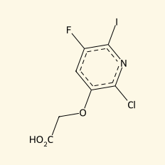 O=C(O)COc1cc(F)c(I)nc1Cl